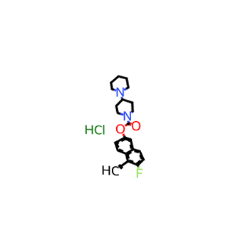 C#Cc1c(F)ccc2cc(OC(=O)N3CCC(N4CCCCC4)CC3)ccc12.Cl